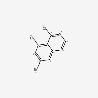 Clc1cc(Br)cc2ccnc(Cl)c12